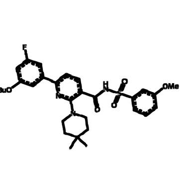 COc1cccc(S(=O)(=O)NC(=O)c2ccc(-c3cc(F)cc(OCC(C)C)c3)nc2N2CCC(C)(C)CC2)c1